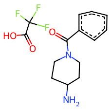 NC1CCN(C(=O)c2ccccc2)CC1.O=C(O)C(F)(F)F